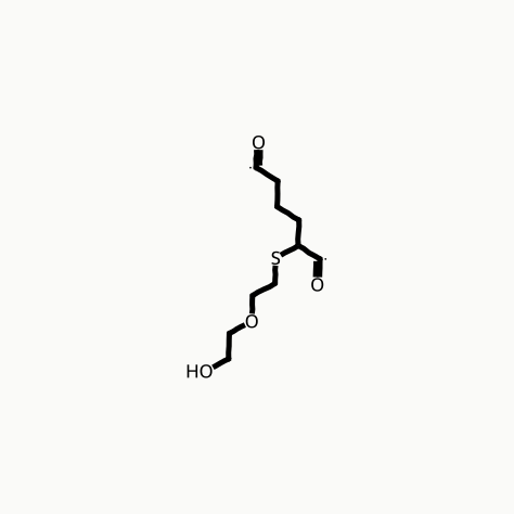 O=[C]CCCC([C]=O)SCCOCCO